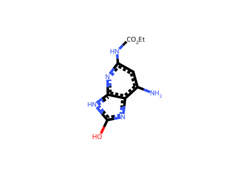 CCOC(=O)Nc1cc(N)c2nc(O)[nH]c2n1